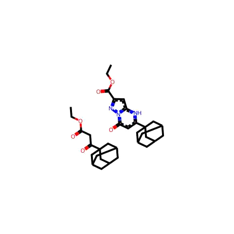 CCOC(=O)CC(=O)C12CC3CC(CC(C3)C1)C2.CCOC(=O)c1cc2[nH]c(C34CC5CC(CC(C5)C3)C4)cc(=O)n2n1